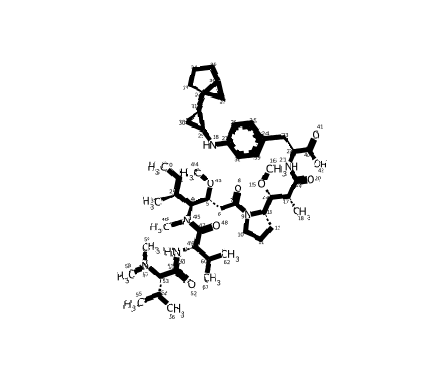 CC[C@H](C)[C@@H]([C@@H](CC(=O)N1CCC[C@H]1[C@H](OC)[C@@H](C)C(=O)N[C@@H](Cc1ccc(NC2C[C@H]2[C@]23CCCC2C3)cc1)C(=O)O)OC)N(C)C(=O)[C@@H](NC(=O)[C@H](C(C)C)N(C)C)C(C)C